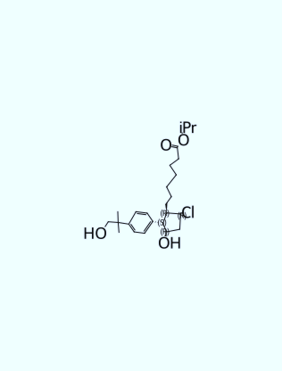 CC(C)OC(=O)CCCCCC[C@@H]1[C@@H](c2ccc(C(C)(C)CO)cc2)[C@H](O)C[C@H]1Cl